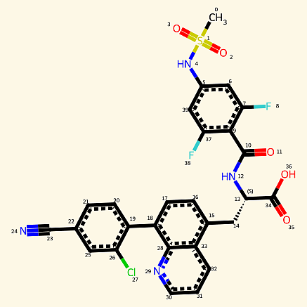 CS(=O)(=O)Nc1cc(F)c(C(=O)N[C@@H](Cc2ccc(-c3ccc(C#N)cc3Cl)c3ncccc23)C(=O)O)c(F)c1